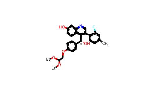 CCOC(COc1ccc([C@@H](O)c2c(-c3ccc(C(F)(F)F)cc3F)cnc3cc(O)ccc23)cc1)OCC